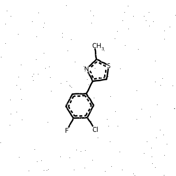 Cc1nc(-c2ccc(F)c(Cl)c2)cs1